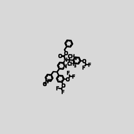 CC(C)(c1ccc(OC(F)F)cc1)N(C(=O)OCc1ccccc1)c1ccc(C(Cc2cc[n+]([O-])cc2)c2ccc(OC(F)F)c(OC(F)F)c2)cn1